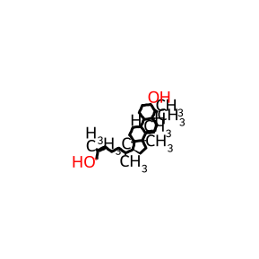 C/C(=C/CC[C@H](C)[C@@H]1CC[C@]2(C)C3=CC[C@H]4C(C)(C)[C@@H](O)CC[C@]4(C)[C@H]3CC[C@@]12C)CO